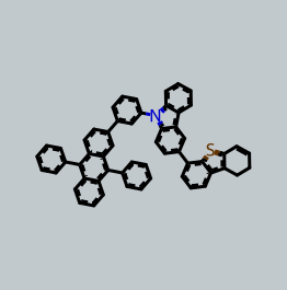 C1=Cc2sc3c(-c4ccc5c(c4)c4ccccc4n5-c4cccc(-c5ccc6c(-c7ccccc7)c7ccccc7c(-c7ccccc7)c6c5)c4)cccc3c2CC1